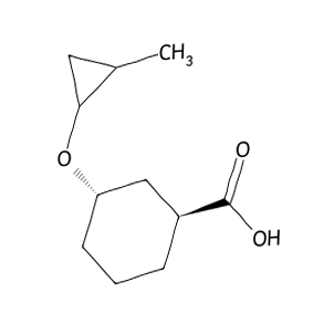 CC1CC1O[C@H]1CCC[C@H](C(=O)O)C1